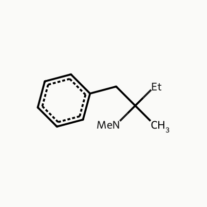 CCC(C)(Cc1ccccc1)NC